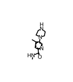 CNC(=O)c1cc(C)c(N2CCNCC2)cn1